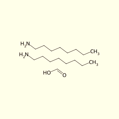 CCCCCCCCN.CCCCCCCCN.O=CO